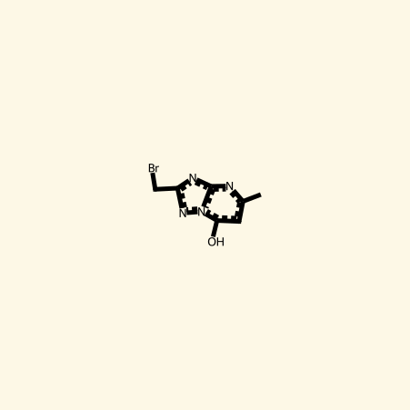 Cc1cc(O)n2nc(CBr)nc2n1